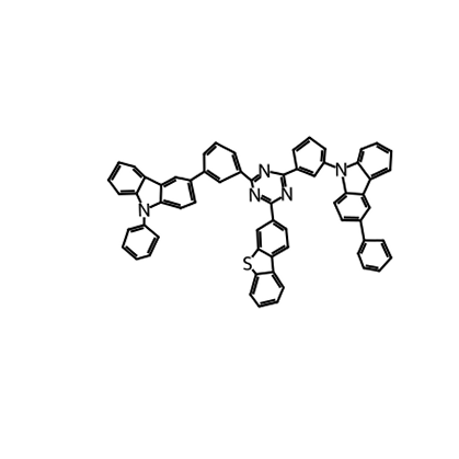 c1ccc(-c2ccc3c(c2)c2ccccc2n3-c2cccc(-c3nc(-c4cccc(-c5ccc6c(c5)c5ccccc5n6-c5ccccc5)c4)nc(-c4ccc5c(c4)sc4ccccc45)n3)c2)cc1